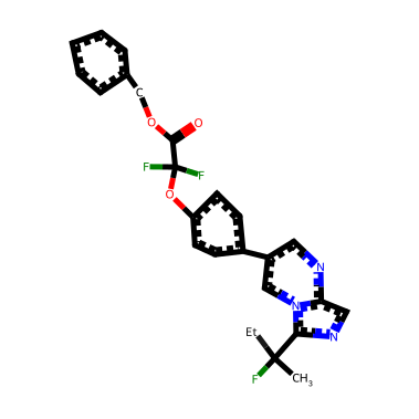 CCC(C)(F)c1ncc2ncc(-c3ccc(OC(F)(F)C(=O)OCc4ccccc4)cc3)cn12